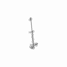 CC(C)(C)OC(=O)CCCCCCCCCCCCCCC(=O)NCCOCCOCCOCCOCCC(=O)NC(CCC(=O)OC(C)(C)C)C(=O)ON1C(=O)CCC1=O